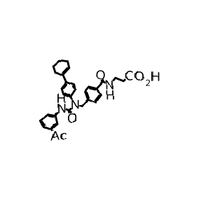 CC(=O)c1cccc(NC(=O)N(Cc2ccc(C(=O)NCCC(=O)O)cc2)c2ccc(C3=CCCCC3)cc2)c1